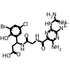 [C-]#[N+]c1nc(N)c(C(=O)NCC(=O)NC(CC(=O)O)c2cc(Cl)cc(Br)c2O)nc1NC(=N)N